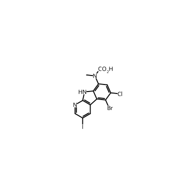 CN(C(=O)O)c1cc(Cl)c(Br)c2c1[nH]c1ncc(I)cc12